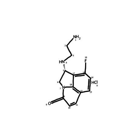 Cl.NCCN[C@H]1Cn2c(=O)ccc3ccc(F)c1c32